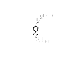 CCCCCC(=O)NCCc1ccc(S(=O)(=O)CNC(=O)OCC)cc1